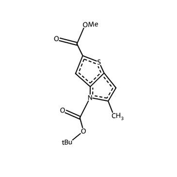 COC(=O)c1cc2c(cc(C)n2C(=O)OC(C)(C)C)s1